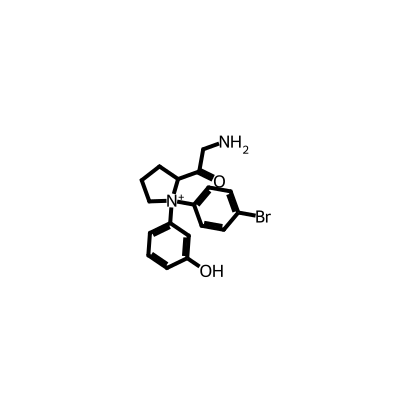 NCC(=O)C1CCC[N+]1(c1ccc(Br)cc1)c1cccc(O)c1